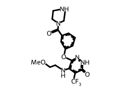 COCCNc1c(Oc2cccc(C(=O)N3CCNCC3)c2)n[nH]c(=O)c1C(F)(F)F